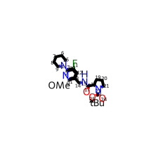 COc1nc(N2CCCCC2)c(F)cc1CNC(=O)C1CCCN1C(=O)OC(C)(C)C